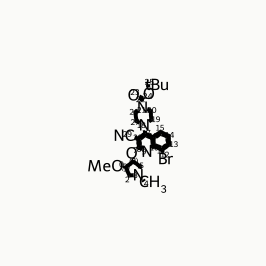 CO[C@@H]1CN(C)C[C@H]1Oc1nc2c(Br)cccc2c(N2CCN(C(=O)OC(C)(C)C)CC2)c1C#N